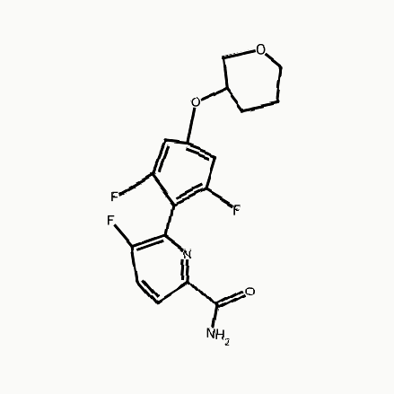 NC(=O)c1ccc(F)c(-c2c(F)cc(OC3CCCOC3)cc2F)n1